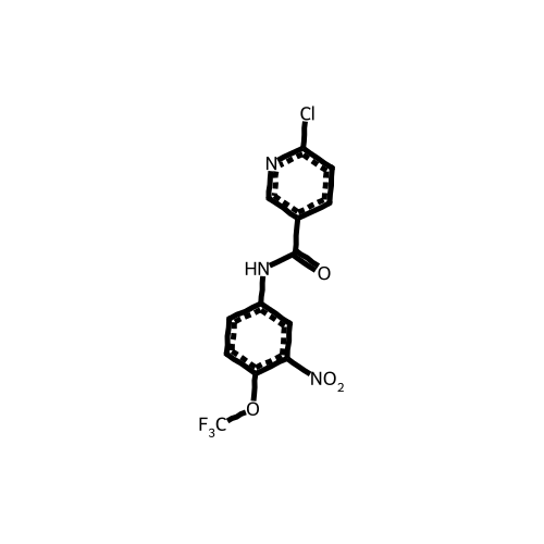 O=C(Nc1ccc(OC(F)(F)F)c([N+](=O)[O-])c1)c1ccc(Cl)nc1